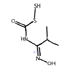 CC(C)/C(=N\O)NC(=O)SS